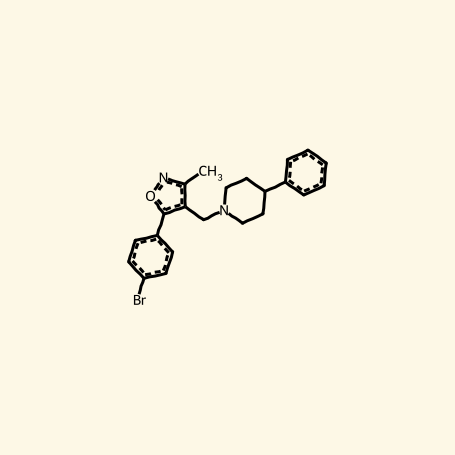 Cc1noc(-c2ccc(Br)cc2)c1CN1CCC(c2ccccc2)CC1